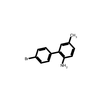 Cc1ccc(N)c(-c2ccc(Br)cc2)c1